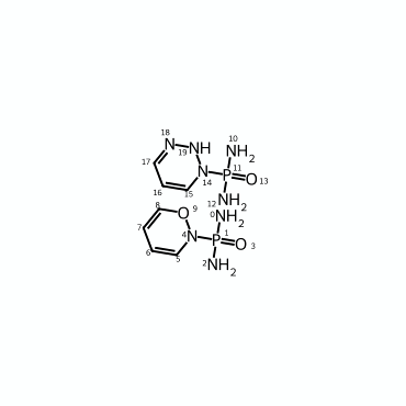 NP(N)(=O)N1C=CC=CO1.NP(N)(=O)N1C=CC=NN1